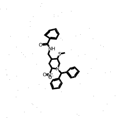 CSC1CN(C(c2ccccc2)c2ccccc2)C([N+](=O)[O-])CC1CNC(=O)c1ccccc1